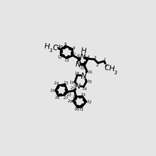 CCCCc1[nH]c(-c2ccc(C)cc2)nc1CN1CCN(C(c2ccccc2)c2ccccc2)CC1